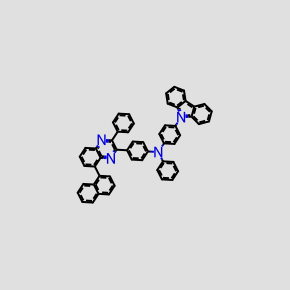 c1ccc(-c2nc3cccc(-c4cccc5ccccc45)c3nc2-c2ccc(N(c3ccccc3)c3ccc(-n4c5ccccc5c5ccccc54)cc3)cc2)cc1